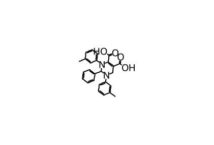 Cc1cccc(N2CC(C(=O)O)=C(C(=O)O)N(c3cccc(C)c3)C2c2ccccc2)c1